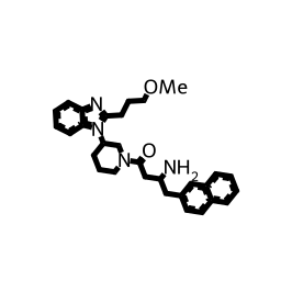 COCCCc1nc2ccccc2n1C1CCCN(C(=O)CC(N)Cc2ccc3ccccc3c2)C1